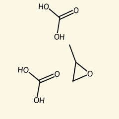 CC1CO1.O=C(O)O.O=C(O)O